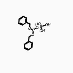 OP(O)O.OP(OCc1ccccc1)OCc1ccccc1